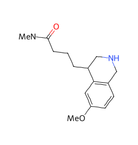 CNC(=O)CCCC1CNCc2ccc(OC)cc21